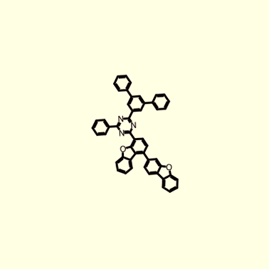 c1ccc(-c2cc(-c3ccccc3)cc(-c3nc(-c4ccccc4)nc(-c4ccc(-c5ccc6c(c5)oc5ccccc56)c5c4oc4ccccc45)n3)c2)cc1